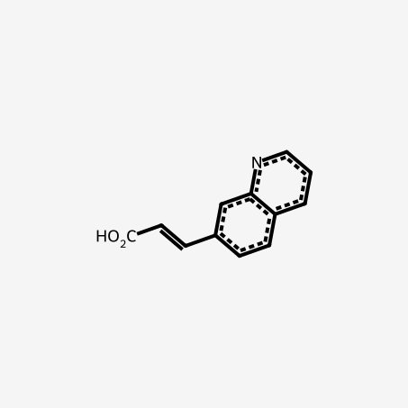 O=C(O)C=Cc1ccc2cccnc2c1